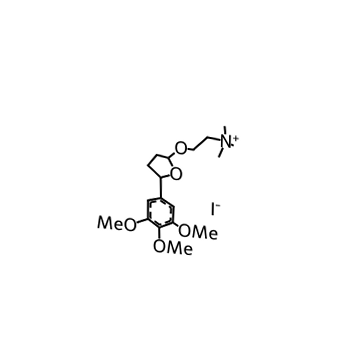 COc1cc(C2CCC(OCC[N+](C)(C)C)O2)cc(OC)c1OC.[I-]